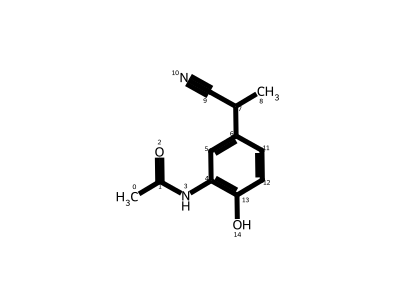 CC(=O)Nc1cc(C(C)C#N)ccc1O